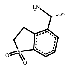 C[C@@H](N)c1cccc2c1CCS2(=O)=O